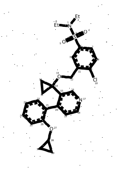 CCN(CC)S(=O)(=O)c1ccc(Cl)c(COC2(c3cnccc3-c3ccccc3OC3CC3)CC2)c1